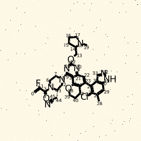 C=C(F)C(=O)N1CCN(c2nc(OCC3CCCN3C)nc3cc(-c4c(Cl)c(C)cc5[nH]ncc45)c4c(c23)OCCC4)C[C@@H]1CC#N